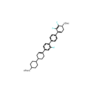 CCCCCCCCCC[C@H]1CC=C(c2ccc(-c3ccc(C4=CCC(C5CCC(CCCCC)CC5)CC4)cc3F)cc2)C(F)=C1F